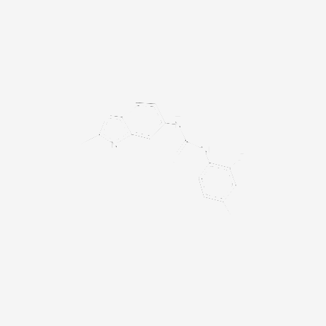 Cc1nc2cc(NC(=O)Nc3ccc(F)cc3F)ccc2s1